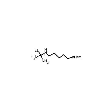 CCCCCCCCCCCNC(N)(N)CC